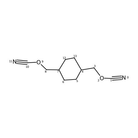 N#COCC1CCC(COC#N)CC1